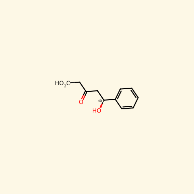 O=C(O)CC(=O)C[C@H](O)c1ccccc1